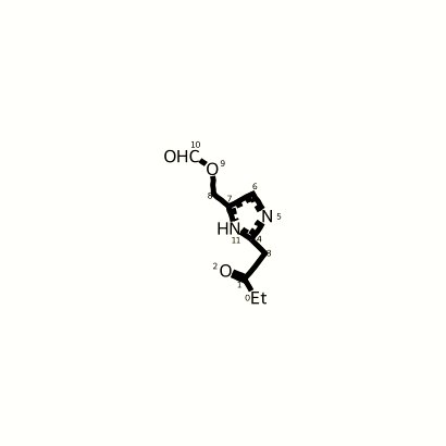 CCC(=O)Cc1ncc(COC=O)[nH]1